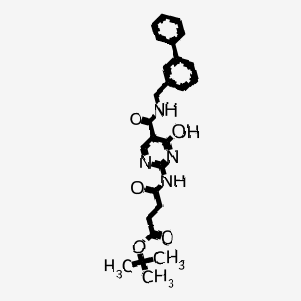 CC(C)(C)OC(=O)CCC(=O)Nc1ncc(C(=O)NCc2cccc(-c3ccccc3)c2)c(O)n1